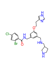 O=C(NCc1cc(CNCC2CCNC2)cc(OCCc2c[nH]cn2)c1)c1ccc(Cl)cc1Br